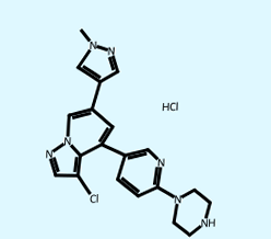 Cl.Cn1cc(-c2cc(-c3ccc(N4CCNCC4)nc3)c3c(Cl)cnn3c2)cn1